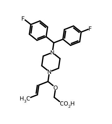 CC=CC(OCC(=O)O)N1CCN(C(c2ccc(F)cc2)c2ccc(F)cc2)CC1